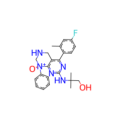 Cc1cc(F)ccc1-c1nc(NC(C)(C)CO)nc2c1CNC[N+]2([O-])c1ccccc1